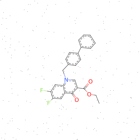 CCOC(=O)c1cn(Cc2ccc(-c3ccccc3)cc2)c2cc(F)c(F)cc2c1=O